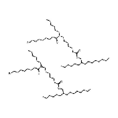 CCCCCCCCC(CCCCCC)COC(=O)CCCCCCN(CCCCCC)C(=O)CCCCCCCBr.CCCCCCCCC(CCCCCC)COC(=O)CCCCCCN(CCCCCC)C(=O)CCCCCCCBr